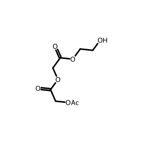 [CH2]C(=O)OCC(=O)OCC(=O)OCCO